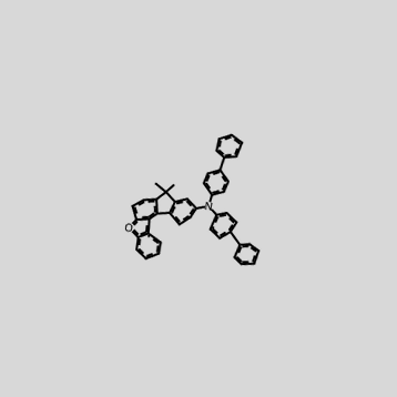 CC1(C)c2cc(N(c3ccc(-c4ccccc4)cc3)c3ccc(-c4ccccc4)cc3)ccc2-c2c1ccc1oc3ccccc3c21